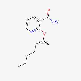 CCCCC[C@H](C)Oc1ncccc1C(N)=O